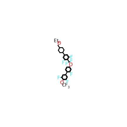 CCOCC1CCC(c2cc(F)c(C(F)(F)Oc3ccc(-c4cc(F)c(OC(F)(F)F)c(F)c4)c(F)c3)c(F)c2)CC1